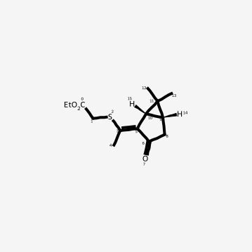 CCOC(=O)CS/C(C)=C1/C(=O)C[C@@H]2[C@H]1C2(C)C